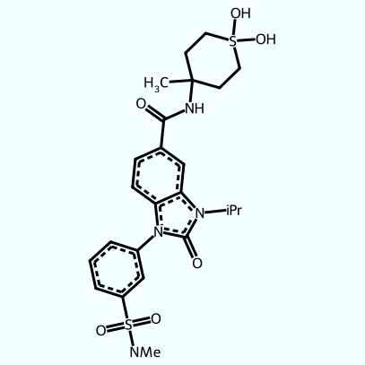 CNS(=O)(=O)c1cccc(-n2c(=O)n(C(C)C)c3cc(C(=O)NC4(C)CCS(O)(O)CC4)ccc32)c1